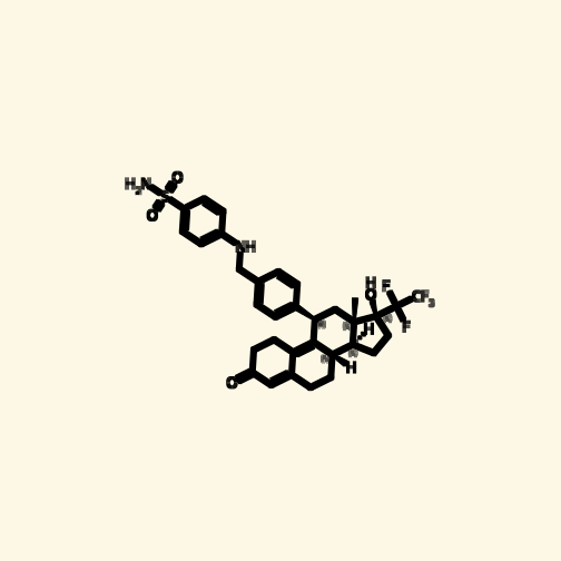 C[C@]12C[C@H](c3ccc(CNc4ccc(S(N)(=O)=O)cc4)cc3)C3=C4CCC(=O)C=C4CC[C@H]3[C@@H]1CC[C@@]2(O)C(F)(F)C(F)(F)F